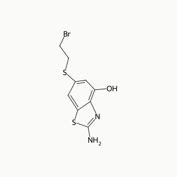 Nc1nc2c(O)cc(SCCBr)cc2s1